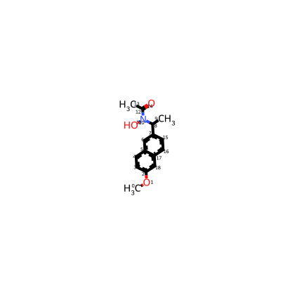 COc1ccc2cc(C(C)N(O)C(C)=O)ccc2c1